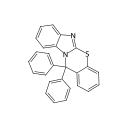 c1ccc(C2(c3ccccc3)c3ccccc3Sc3nc4ccccc4n32)cc1